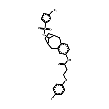 Cc1ccc(S(=O)(=O)NC2C3CCC2Cc2cc(NC(=O)CCOc4ccc(F)cc4)ccc2C3)s1